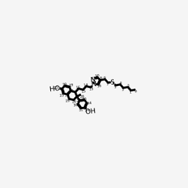 CCCCCCSCCc1cnn(CCCCC2c3ccc(O)cc3CCC2(C)c2ccc(O)cc2)c1